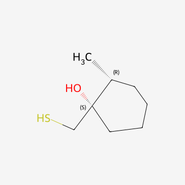 C[C@@H]1CCCC[C@@]1(O)CS